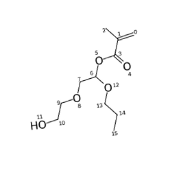 C=C(C)C(=O)OC(COCCO)OCCC